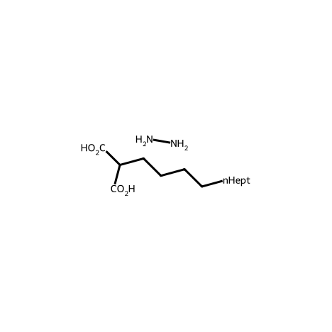 CCCCCCCCCCCC(C(=O)O)C(=O)O.NN